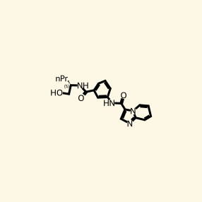 CCC[C@@H](CO)NC(=O)c1cccc(NC(=O)c2cnc3ccccn23)c1